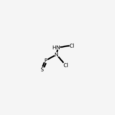 S=PN(Cl)NCl